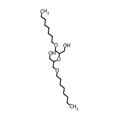 CCCCCCCCOCC(CO)OC(CO)COCCCCCCCC